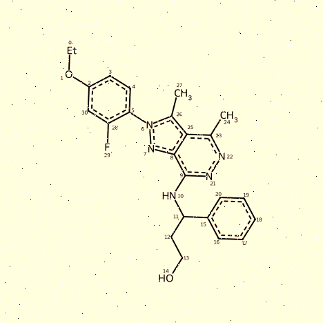 CCOc1ccc(-n2nc3c(NC(CCO)c4ccccc4)nnc(C)c3c2C)c(F)c1